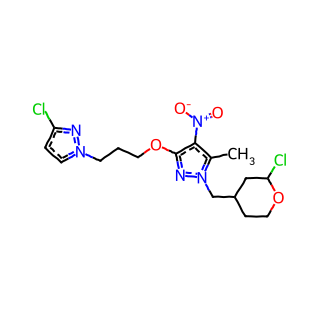 Cc1c([N+](=O)[O-])c(OCCCn2ccc(Cl)n2)nn1CC1CCOC(Cl)C1